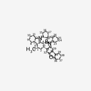 Cc1cc2c3c4c1c1ccccc1n4-c1ccccc1B3N(c1ccccc1)c1cc3c(cc1-2)oc1ccccc13